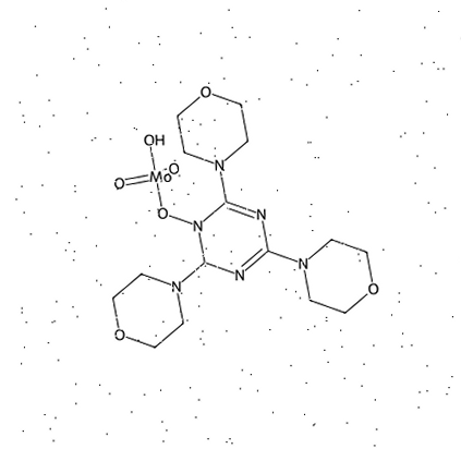 [O]=[Mo](=[O])([OH])[O]N1C(N2CCOCC2)=NC(N2CCOCC2)=NC1N1CCOCC1